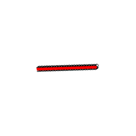 S=S=S=S=S=S=S=S=S=S=S=S=S=S=S=S=S=S=S=S=S=S=S=S=S=S=S=S=S=S=S=S=S=S=S=S=S=S=S=S=S=S=S=S=S=S=S=S